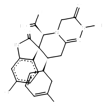 C=C(CC)[C@H]1N2CC(=O)N(C)N=C2C[C@@H](C2C=CC=C(Cl)C2)[C@]12C(=O)Nc1cc(Cl)ccc12